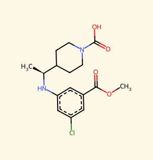 COC(=O)c1cc(Cl)cc(N[C@@H](C)C2CCN(C(=O)O)CC2)c1